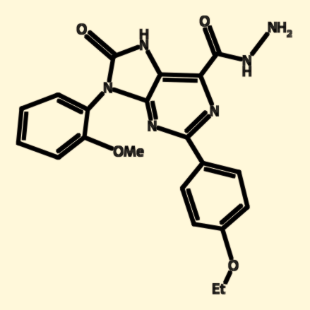 CCOc1ccc(-c2nc(C(=O)NN)c3[nH]c(=O)n(-c4ccccc4OC)c3n2)cc1